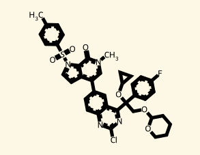 Cc1ccc(S(=O)(=O)n2ccc3c(-c4ccc5nc(Cl)nc(C(COC6CCCCO6)(OC6CC6)c6ccc(F)cc6)c5c4)cn(C)c(=O)c32)cc1